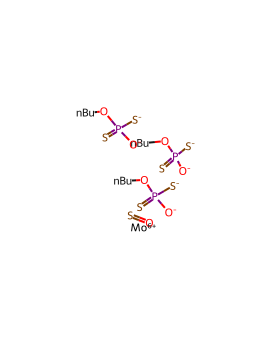 CCCCOP([O-])(=S)[S-].CCCCOP([O-])(=S)[S-].CCCCOP([O-])(=S)[S-].O=S.[Mo+6]